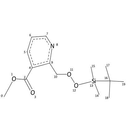 COC(=O)c1cccnc1COO[Si](C)(C)C(C)(C)C